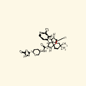 CC1(C)CCC2(CC1)N[C@@H](C(=O)N[C@@H]1CC[C@@H](c3n[nH]c(=O)o3)OC1)[C@@H](c1ccnc(Cl)c1F)[C@]21C(=O)Nc2cc(Cl)ccc21